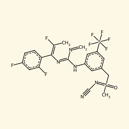 C=N/C(=N\C(=C(/C)F)c1ccc(F)cc1F)Nc1cc(CS(C)(=O)=NC#N)cc(S(F)(F)(F)(F)F)c1